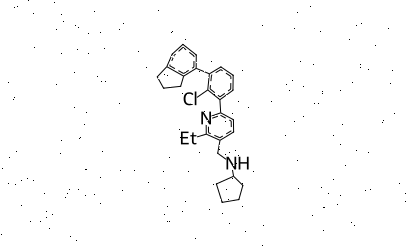 CCc1nc(-c2cccc(-c3cccc4c3CCC4)c2Cl)ccc1CNC1CCCC1